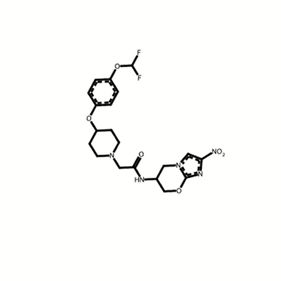 O=C(CN1CCC(Oc2ccc(OC(F)F)cc2)CC1)NC1COc2nc([N+](=O)[O-])cn2C1